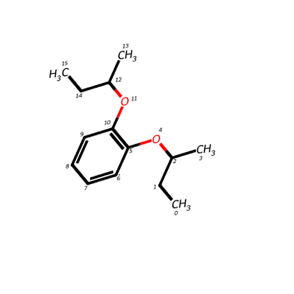 CCC(C)Oc1[c]cccc1OC(C)CC